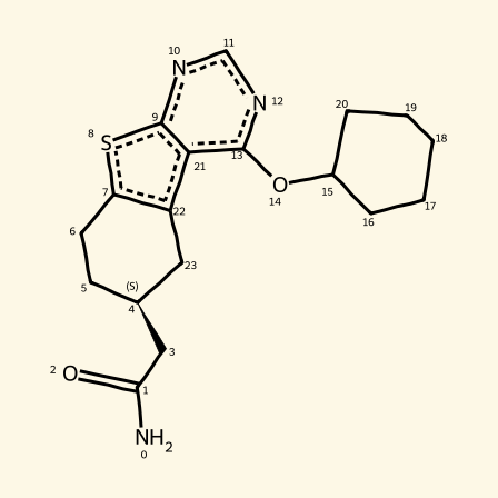 NC(=O)C[C@H]1CCc2sc3ncnc(OC4CCCCC4)c3c2C1